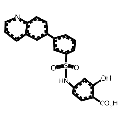 O=C(O)c1ccc(NS(=O)(=O)c2cccc(-c3ccc4ncccc4c3)c2)cc1O